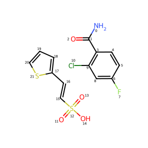 NC(=O)c1ccc(F)cc1Cl.O=S(=O)(O)/C=C/c1cccs1